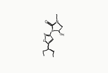 CCC(CC)c1cc(N2C(=O)N(C)CC2O)no1